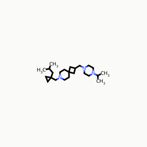 CC(C)CC1(CN2CCC3(CC2)CC(CN2CCN(C(C)C)CC2)C3)CC1